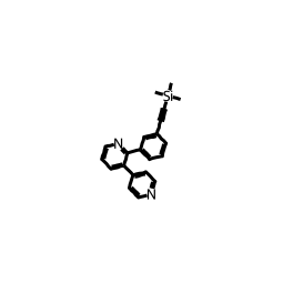 C[Si](C)(C)C#Cc1cccc(-c2ncccc2-c2ccncc2)c1